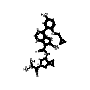 Cc1ccc(OCC2CC2)c(-c2ncnc3c(C(=O)N[C@@H]4CN(C(=O)[C@H](C)O)CC45CC5)c(C)[nH]c23)c1